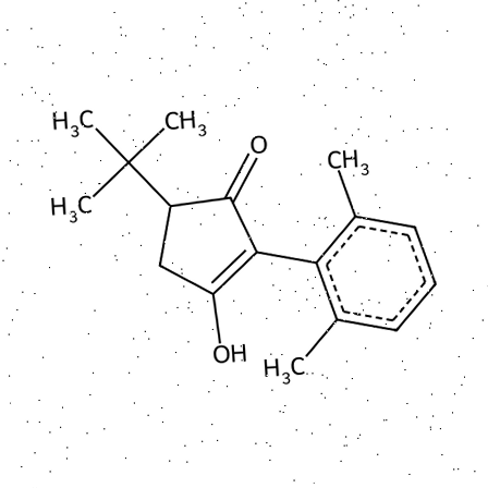 Cc1cccc(C)c1C1=C(O)CC(C(C)(C)C)C1=O